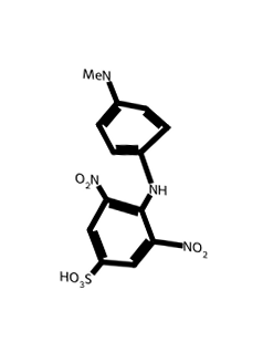 CNc1ccc(Nc2c([N+](=O)[O-])cc(S(=O)(=O)O)cc2[N+](=O)[O-])cc1